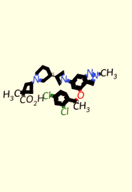 C[C@@H](Oc1cc(N2CC([C@H]3CCCN(C4CC(C)(C(=O)O)C4)C3)C2)cc2nn(C)cc12)c1ccc(Cl)cc1Cl